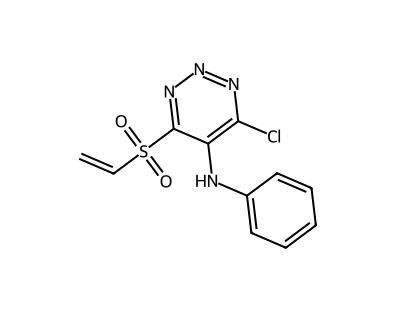 C=CS(=O)(=O)c1nnnc(Cl)c1Nc1ccccc1